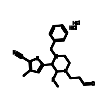 CSC1C(c2cc(C)c(C#N)s2)N(Cc2ccccc2)CCN1CCC=O.Cl.Cl